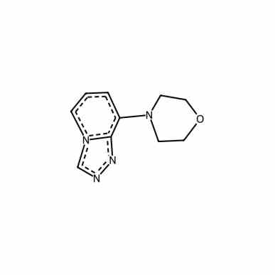 c1cc(N2CCOCC2)c2nncn2c1